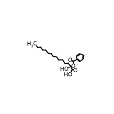 CCCCCCCCCCCCC[C@](O)(OC(=O)c1ccccc1)C(=O)O